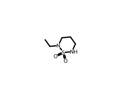 CCN1CCCNS1(=O)=O